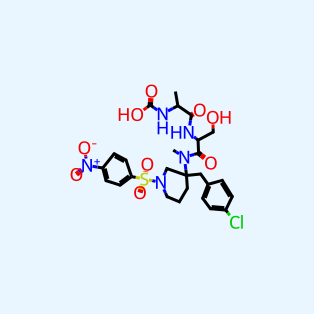 CC(NC(=O)O)C(=O)NC(CO)C(=O)N(C)C1(Cc2ccc(Cl)cc2)CCCN(S(=O)(=O)c2ccc([N+](=O)[O-])cc2)C1